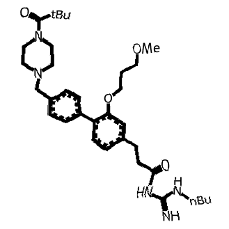 CCCCNC(=N)NC(=O)CCc1ccc(-c2ccc(CN3CCN(C(=O)C(C)(C)C)CC3)cc2)c(OCCCOC)c1